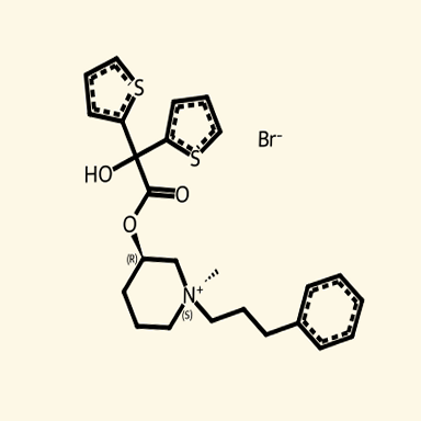 C[N@+]1(CCCc2ccccc2)CCC[C@@H](OC(=O)C(O)(c2cccs2)c2cccs2)C1.[Br-]